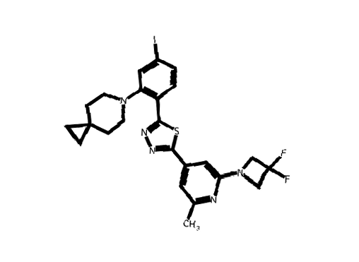 Cc1cc(-c2nnc(-c3ccc(I)cc3N3CCC4(CC3)CC4)s2)cc(N2CC(F)(F)C2)n1